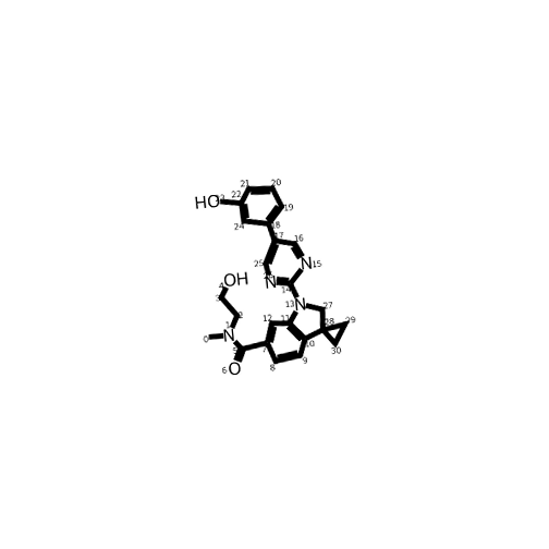 CN(CCO)C(=O)c1ccc2c(c1)N(c1ncc(-c3cccc(O)c3)cn1)CC21CC1